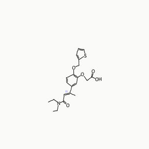 CCN(CC)C(=O)/C=C(\C)c1ccc(OCc2cccs2)c(OCC(=O)O)c1